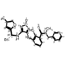 CC[C@@H](Nc1n[s+]([O-])nc1Nc1cccc(C(=O)N(C)Cc2cccnc2)c1O)c1cc(C(C)C)co1